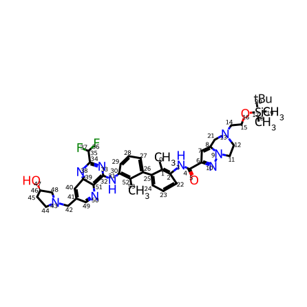 Cc1c(NC(=O)c2cc3n(n2)CCN(CCO[Si](C)(C)C(C)(C)C)C3)cccc1-c1cccc(Nc2nc(C(F)F)nc3cc(CN4CC[C@@H](O)C4)cnc23)c1C